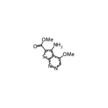 COC(=O)c1sc2nncc(OC)c2c1N